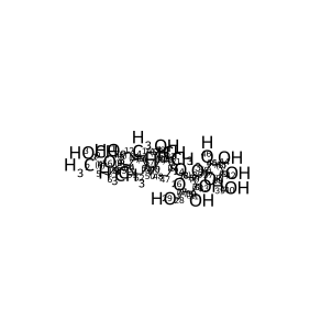 CC(C)(O)[C@H]1CC[C@@](C)([C@H]2[C@@H](O)C[C@@]3(C)[C@@H]4C[C@H](O)[C@H]5C(C)(C)[C@@H](O[C@@H]6O[C@H](CO)[C@@H](O)[C@H](O)[C@H]6O[C@@H]6O[C@H](CO)[C@@H](O)[C@H](O)[C@H]6O)CC[C@@]56C[C@@]46CC[C@]23C)O1